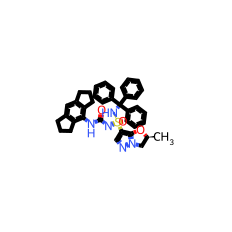 C[C@@H]1Cn2ncc([S@@](=O)(=NC(=O)Nc3c4c(cc5c3CCC5)CCC4)NC(c3ccccc3)(c3ccccc3)c3ccccc3)c2O1